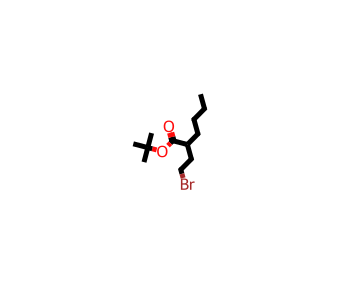 CCCCC(CCBr)C(=O)OC(C)(C)C